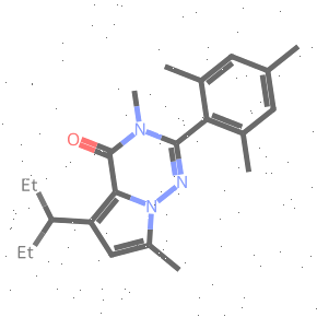 CCC(CC)c1cc(C)n2nc(-c3c(C)cc(C)cc3C)n(C)c(=O)c12